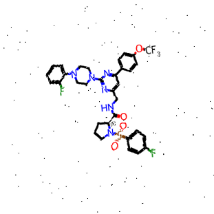 O=C(NCc1cc(-c2ccc(OC(F)(F)F)cc2)nc(N2CCN(c3ccccc3F)CC2)n1)[C@@H]1CCCN1S(=O)(=O)c1ccc(F)cc1